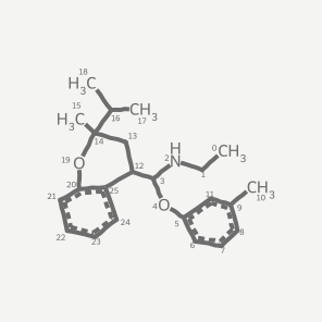 CCNC(Oc1cccc(C)c1)C1CC(C)(C(C)C)Oc2ccccc21